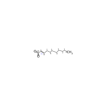 CCCCCCCC/C=C/C([O])=O